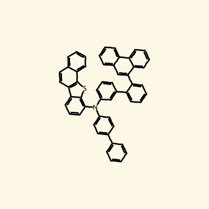 c1ccc(-c2ccc(N(c3cccc(-c4ccccc4-c4cc5ccccc5c5ccccc45)c3)c3cccc4c3sc3c5ccccc5ccc43)cc2)cc1